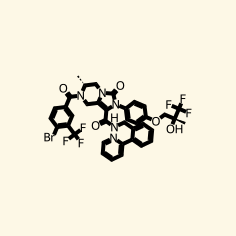 C[C@@H]1Cn2c(c(C(=O)NCc3ccccc3-c3ccccn3)n(-c3ccc(OC[C@@](C)(O)C(F)(F)F)cc3)c2=O)CN1C(=O)c1ccc(Br)c(C(F)(F)F)c1